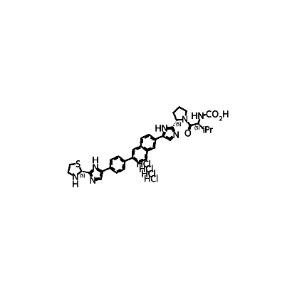 CC(C)[C@H](NC(=O)O)C(=O)N1CCC[C@H]1c1ncc(-c2ccc3cc(-c4ccc(-c5cnc([C@H]6NCCS6)[nH]5)cc4)ccc3c2)[nH]1.Cl.Cl.Cl.Cl